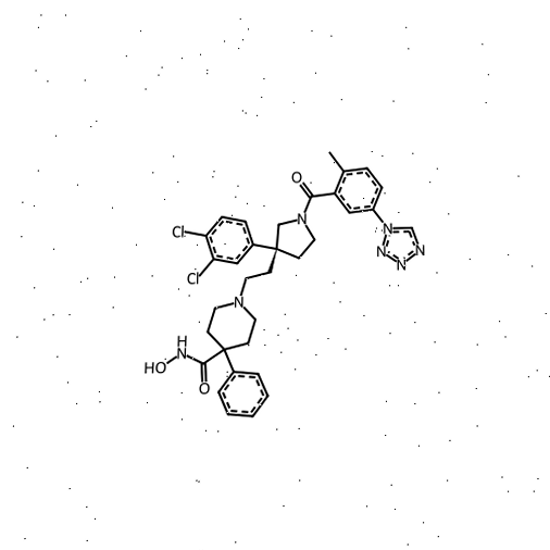 Cc1ccc(-n2cnnn2)cc1C(=O)N1CC[C@](CCN2CCC(C(=O)NO)(c3ccccc3)CC2)(c2ccc(Cl)c(Cl)c2)C1